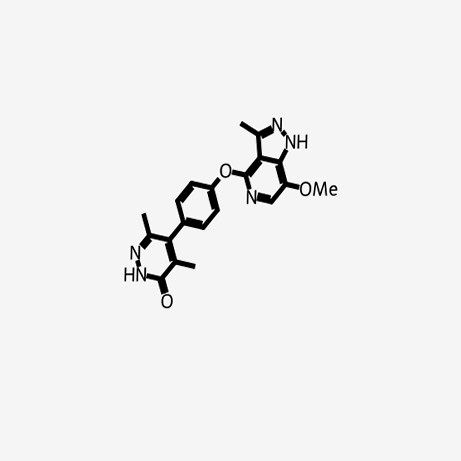 COc1cnc(Oc2ccc(-c3c(C)n[nH]c(=O)c3C)cc2)c2c(C)n[nH]c12